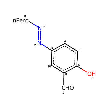 CCCCCN=Nc1ccc(O)c(C=O)c1